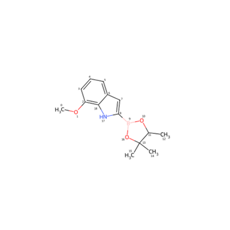 COc1cccc2cc(B3OC(C)C(C)(C)O3)[nH]c12